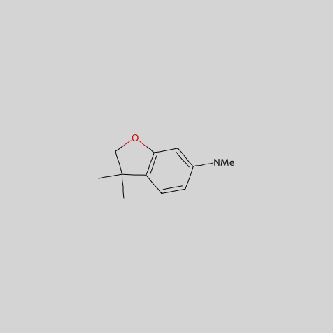 CNc1ccc2c(c1)OCC2(C)C